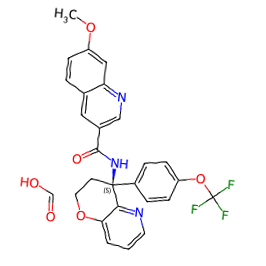 COc1ccc2cc(C(=O)N[C@]3(c4ccc(OC(F)(F)F)cc4)CCOc4cccnc43)cnc2c1.O=CO